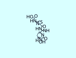 N=C(NC(=O)c1nc(NC(=O)O)cs1)[C@@H]1CC[C@@H]2CN1C(=O)N2O